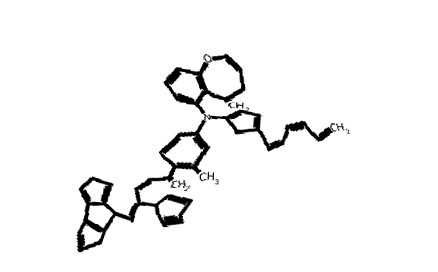 C=C/C=C\C=C/C1=CC=C(N(c2ccc(C(=C)/C=C\C(=CC3C4=CCC=C4C4=C3CC=C4)C3C=CC=C3)c(C)c2)c2cccc3c2C(=C)CC=CO3)C1